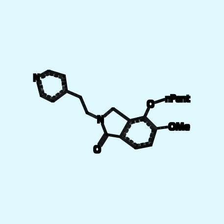 CCCCCOc1c(OC)ccc2c1CN(CCc1ccncc1)C2=O